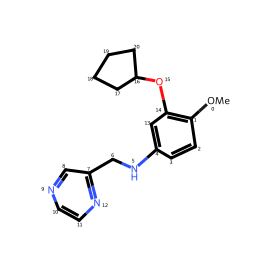 COc1ccc(NCc2cnccn2)cc1OC1CCCC1